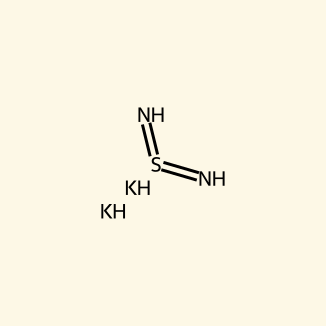 N=S=N.[KH].[KH]